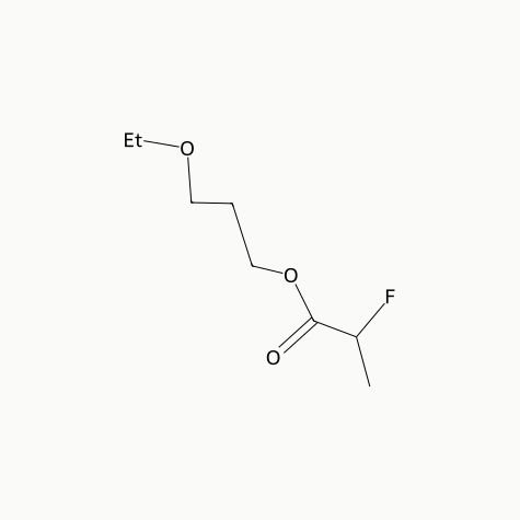 CCOCCCOC(=O)C(C)F